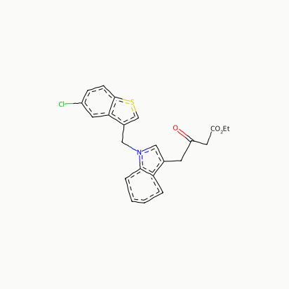 CCOC(=O)CC(=O)Cc1cn(Cc2csc3ccc(Cl)cc23)c2ccccc12